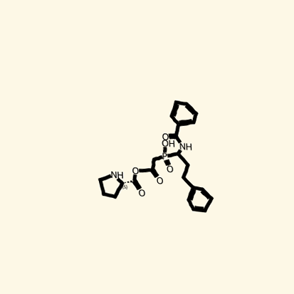 O=C(CP(=O)(O)C(CCc1ccccc1)NC(=O)c1ccccc1)OC(=O)[C@@H]1CCCN1